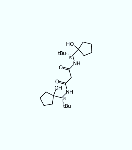 CC(C)(C)[C@@H](NC(=O)CC(=O)N[C@H](C(C)(C)C)C1(O)CCCC1)C1(O)CCCC1